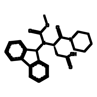 COC(=O)N(C1c2ccccc2-c2ccccc21)[C@@H](CC(=O)O)C(=O)N1CCCCC1